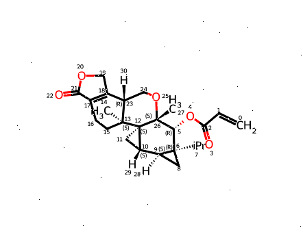 C=CC(=O)O[C@@H]1[C@@]2(C(C)C)C[C@H]2[C@@H]2C[C@@]23[C@@]2(C)CCC4=C(COC4=O)[C@@H]2CO[C@]13C